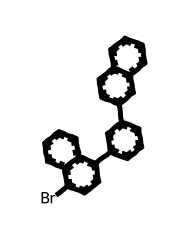 Brc1ccc(-c2cccc(-c3ccc4ccccc4c3)c2)c2ccccc12